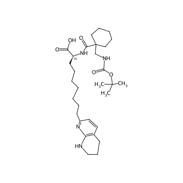 CC(C)(C)OC(=O)NCC1(C(=O)N[C@@H](CCCCCCCc2ccc3c(n2)NCCC3)C(=O)O)CCCCC1